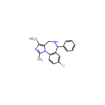 Cc1nc(C(=O)O)c2n1-c1ccc(Cl)cc1C(c1ccccc1)NC2